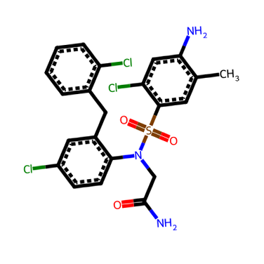 Cc1cc(S(=O)(=O)N(CC(N)=O)c2ccc(Cl)cc2Cc2ccccc2Cl)c(Cl)cc1N